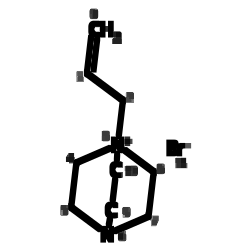 C=CC[N+]12CCN(CC1)CC2.[Br-]